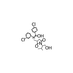 CC(C)C(CO)N1C(=O)CC(C[C@H](c2cccc(Cl)c2)[C@@H](O)c2ccc(Cl)cc2)C1=O